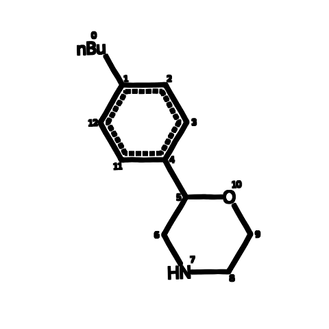 CCCCc1ccc(C2CNCCO2)cc1